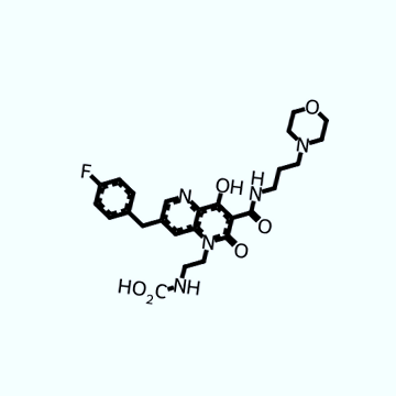 O=C(O)NCCn1c(=O)c(C(=O)NCCCN2CCOCC2)c(O)c2ncc(Cc3ccc(F)cc3)cc21